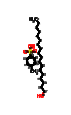 CCCCCCCCCCCCCCCCCCO.Cc1ccc(S(=O)(=O)O)cc1